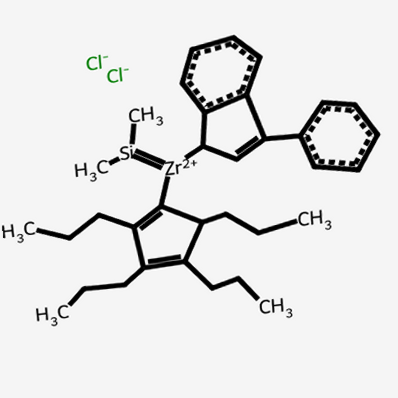 CCCC1=C(CCC)C(CCC)[C]([Zr+2]([CH]2C=C(c3ccccc3)c3ccccc32)=[Si](C)C)=C1CCC.[Cl-].[Cl-]